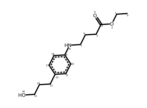 CCOC(=O)CCCNc1ccc(CCCO)cc1